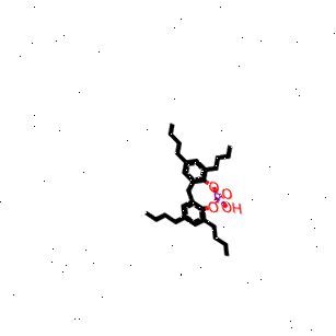 CCCCc1cc(CCCC)c2c(c1)Cc1cc(CCCC)cc(CCCC)c1OP(=O)(O)O2